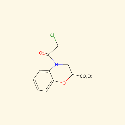 CCOC(=O)C1CN(C(=O)CCl)c2ccccc2O1